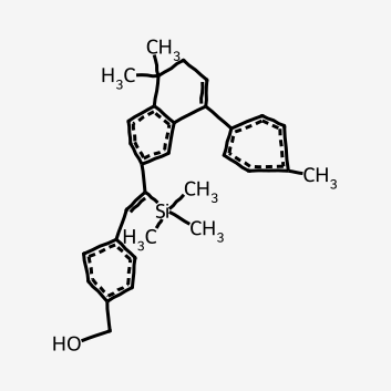 Cc1ccc(C2=CCC(C)(C)c3ccc(C(=Cc4ccc(CO)cc4)[Si](C)(C)C)cc32)cc1